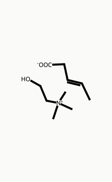 CC=CCC(=O)[O-].C[N+](C)(C)CCO